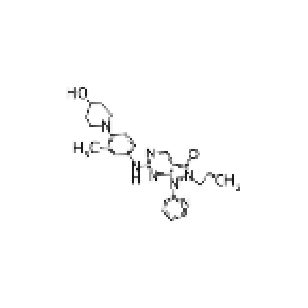 C=CCn1c(=O)c2cnc(Nc3ccc(N4CCC(O)CC4)c(C)c3)nc2n1-c1ccccn1